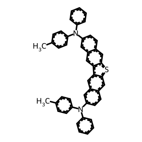 Cc1ccc(N(c2ccccc2)c2ccc3cc4sc5cc6ccc(N(c7ccccc7)c7ccc(C)cc7)cc6cc5c4cc3c2)cc1